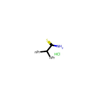 CCCC(CCC)C(N)=S.Cl